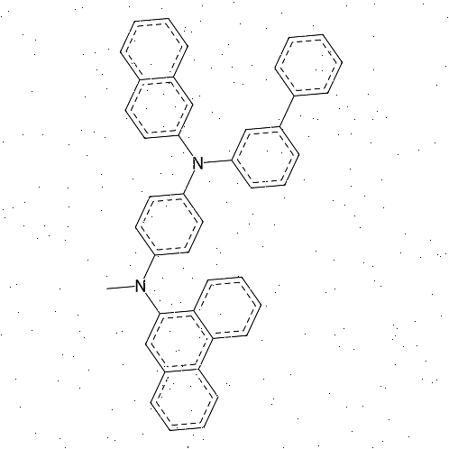 CN(c1ccc(N(c2cccc(-c3ccccc3)c2)c2ccc3ccccc3c2)cc1)c1cc2ccccc2c2ccccc12